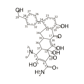 CN(C)C1C(O)=C(C(N)=O)C(=O)C2(O)C(O)=C3C(=O)c4c(O)ccc(-c5ccc(CO)cc5)c4CC3CC12